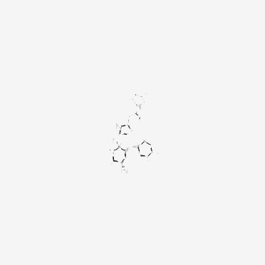 O=C(Cc1csc(Nc2ncc(Br)cc2Oc2ccccc2)n1)N1CCCC1